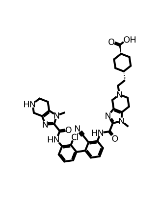 Cn1c(C(=O)Nc2cccc(-c3cccc(NC(=O)c4nc5c(n4C)CCN(CC[C@H]4CC[C@H](C(=O)O)CC4)C5)c3C#N)c2Cl)nc2c1CCNC2